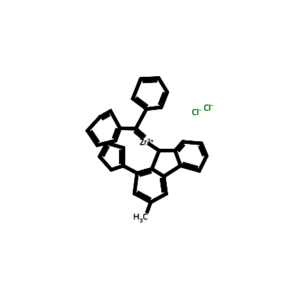 Cc1cc(C2=CC=CC2)c2c(c1)-c1ccccc1[CH]2[Zr+2]=[C](c1ccccc1)c1ccccc1.[Cl-].[Cl-]